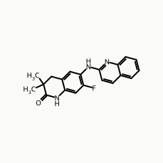 CC1(C)Cc2cc(Nc3ccc4ccccc4n3)c(F)cc2NC1=O